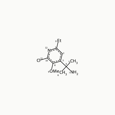 CCc1cc(C(C)(C)N)c(OC)c(Cl)n1